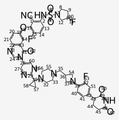 N#Cc1c(NS(=O)(=O)N2CC[C@@H](F)C2)ccc(F)c1Oc1ccc2ncn(-c3cnc(C4(N5CCN(CC6CN(c7ccc(C8CCC(=O)NC8=O)cc7F)C6)CC5)CC4)nc3)c(=O)c2c1